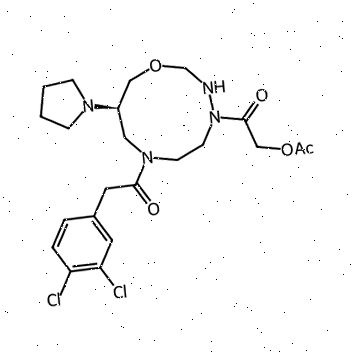 CC(=O)OCC(=O)N1CCN(C(=O)Cc2ccc(Cl)c(Cl)c2)C[C@@H](N2CCCC2)COCN1